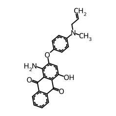 C=CCN(C)c1ccc(Oc2cc(O)c3c(c2N)C(=O)c2ccccc2C3=O)cc1